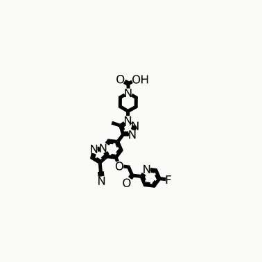 Cc1c(-c2cc(OCC(=O)c3ccc(F)cn3)c3c(C#N)cnn3c2)nnn1C1CCN(C(=O)O)CC1